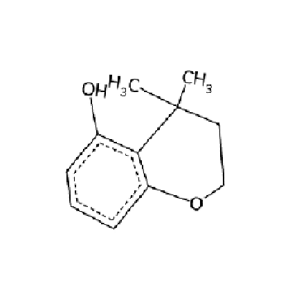 CC1(C)CCOc2cccc(O)c21